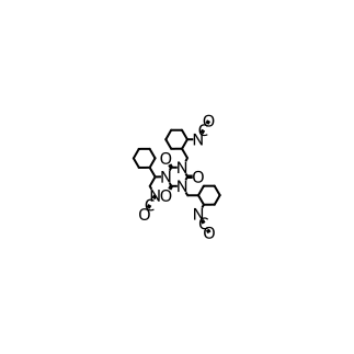 O=C=NCC(C1CCCCC1)n1c(=O)n(CC2CCCCC2N=C=O)c(=O)n(CC2CCCCC2N=C=O)c1=O